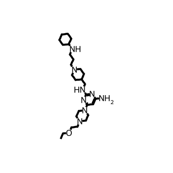 CCOCCN1CCN(c2cc(N)nc(NCC3CCN(CCCNC4CCCCC4)CC3)n2)CC1